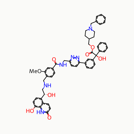 COc1cc(C(=O)NCc2ccc(-c3cccc([C@](O)(C(=O)OCC4CCN(Cc5ccccc5)CC4)c4ccccc4)c3)nn2)ccc1CNC[C@H](O)c1ccc(O)c2[nH]c(=O)ccc12